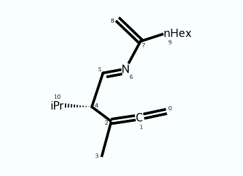 C=C=C(C)[C@@H](/C=N/C(=C)CCCCCC)C(C)C